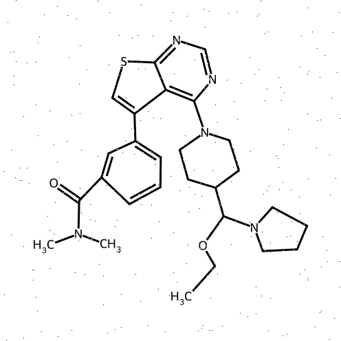 CCOC(C1CCN(c2ncnc3scc(-c4cccc(C(=O)N(C)C)c4)c23)CC1)N1CCCC1